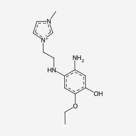 CCOc1cc(NCC[n+]2ccn(C)c2)c(N)cc1O